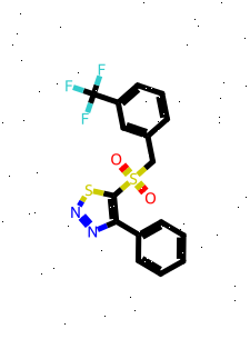 O=S(=O)(Cc1cccc(C(F)(F)F)c1)c1snnc1-c1ccccc1